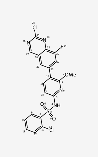 COc1nc(NS(=O)(=O)c2ccccc2Cl)ccc1-c1cc(F)c2nc(Cl)ncc2c1